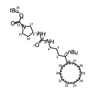 CCCCC(CCCNC(=O)N[C@@H]1CCN(C(=O)OC(C)(C)C)C1)c1ccccccccc1